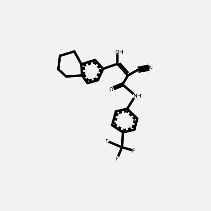 N#CC(C(=O)Nc1ccc(C(F)(F)F)cc1)=C(O)c1ccc2c(c1)CCCC2